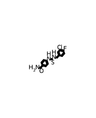 NC(=O)c1ccc(NC(=S)NCc2ccc(F)c(Cl)c2)cc1